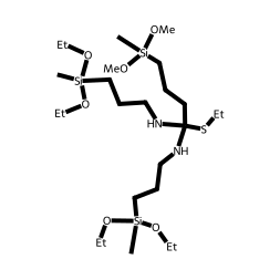 CCO[Si](C)(CCCNC(CCC[Si](C)(OC)OC)(NCCC[Si](C)(OCC)OCC)SCC)OCC